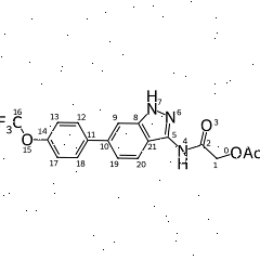 CC(=O)OCC(=O)Nc1n[nH]c2cc(-c3ccc(OC(F)(F)F)cc3)ccc12